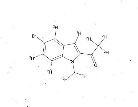 [2H]c1c(Br)c([2H])c2c([2H])c(C(=O)C([2H])([2H])[2H])n(C([2H])[2H])c2c1[2H]